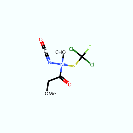 COCC(=O)[N+](C=O)(N=C=O)SC(F)(Cl)Cl